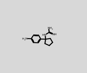 N=C(N)NC1(c2ccc(N)cc2)CCCC1